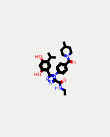 [CH2]C1CCN(C(=O)c2ccc(-n3c(C(=O)NCC)nnc3-c3cc(C(C)C)c(O)cc3O)cc2)CC1